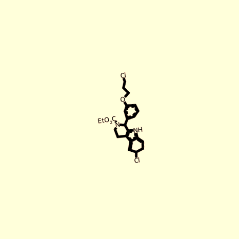 CCOC(=O)N1CCc2c([nH]c3c2=CC(Cl)CC=3)C1c1cccc(OCCCCl)c1